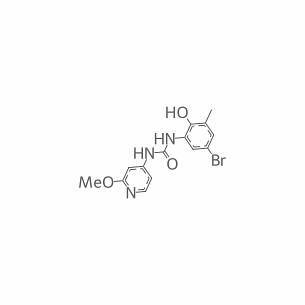 COc1cc(NC(=O)Nc2cc(Br)cc(C)c2O)ccn1